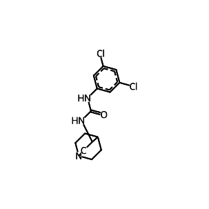 O=C(Nc1cc(Cl)cc(Cl)c1)NC1CN2CCC1CC2